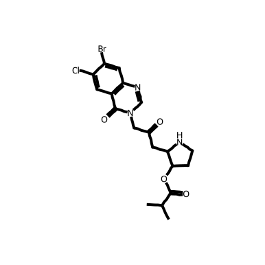 CC(C)C(=O)OC1CCNC1CC(=O)Cn1cnc2cc(Br)c(Cl)cc2c1=O